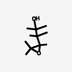 CC(C)(O)C(C)(C)C1(C)OC1(C)C